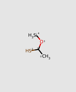 CC(S)O[SiH3]